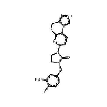 Cc1cc(CN2CCN(c3ccc4c(n3)OCc3n[nH]cc3-4)C2=O)ccc1F